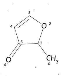 CC1OC=CC1=O